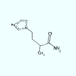 CC(CCn1ccnc1)C(N)=O